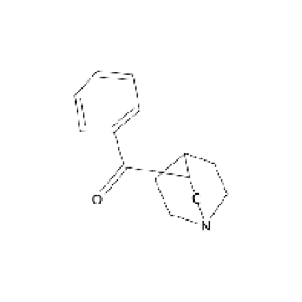 O=C(c1ccccc1)C1CN2CCC1CC2